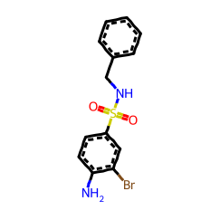 Nc1ccc(S(=O)(=O)NCc2ccccc2)cc1Br